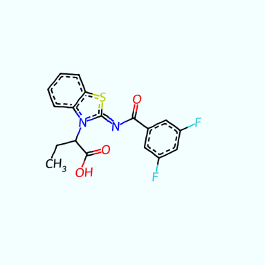 CCC(C(=O)O)n1/c(=N/C(=O)c2cc(F)cc(F)c2)sc2ccccc21